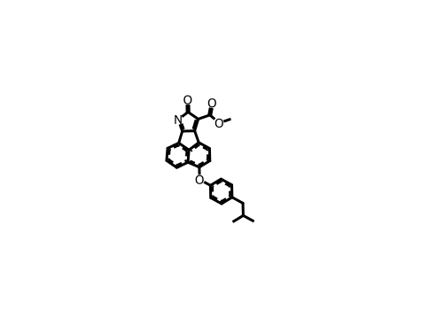 COC(=O)C1=C2C(=NC1=O)c1cccc3c(Oc4ccc(CC(C)C)cc4)ccc2c13